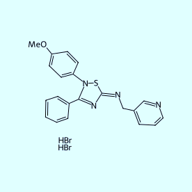 Br.Br.COc1ccc(-n2sc(=NCc3cccnc3)nc2-c2ccccc2)cc1